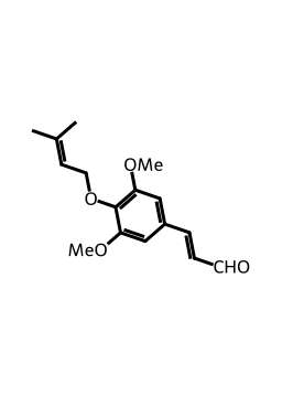 COc1cc(/C=C/C=O)cc(OC)c1OCC=C(C)C